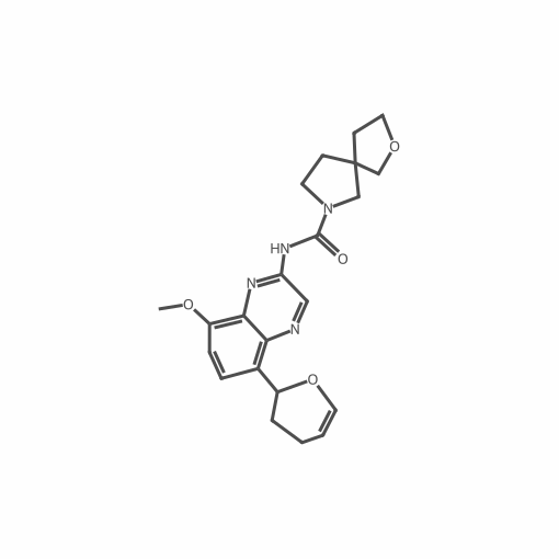 COc1ccc(C2CCC=CO2)c2ncc(NC(=O)N3CCC4(CCOC4)C3)nc12